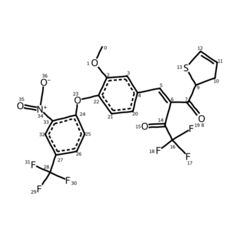 COc1cc(/C=C(/C(=O)C2CC=CS2)C(=O)C(F)(F)F)ccc1Oc1ccc(C(F)(F)F)cc1[N+](=O)[O-]